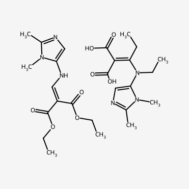 CCC(=C(C(=O)O)C(=O)O)N(CC)c1cnc(C)n1C.CCOC(=O)C(=CNc1cnc(C)n1C)C(=O)OCC